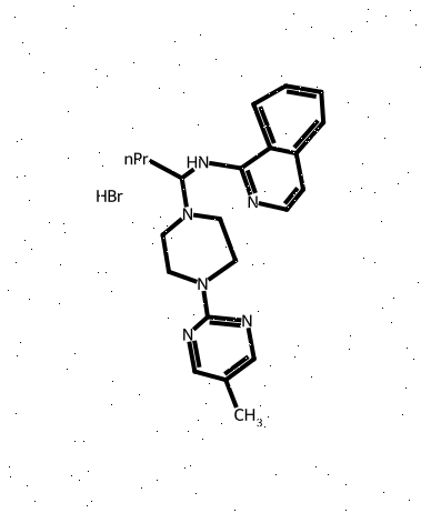 Br.CCCC(Nc1nccc2ccccc12)N1CCN(c2ncc(C)cn2)CC1